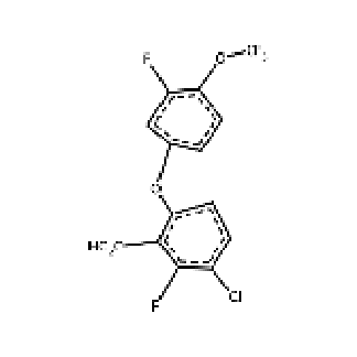 O=C(O)c1c(Oc2ccc(OC(F)(F)F)c(F)c2)ccc(Cl)c1F